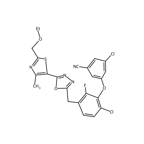 CCOCc1nc(C)c(-c2nnc(Cc3ccc(Cl)c(Oc4cc(Cl)cc(C#N)c4)c3F)o2)s1